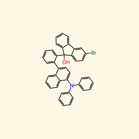 OC1(c2ccccc2-c2ccc(N(c3ccccc3)c3ccccc3)c3ccccc23)c2ccccc2-c2cc(Br)ccc21